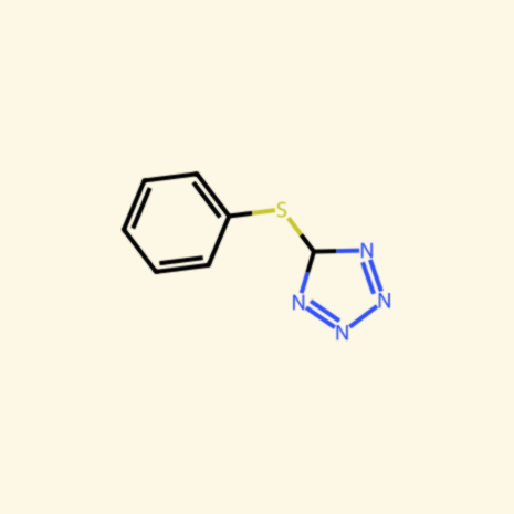 c1ccc(SC2N=NN=N2)cc1